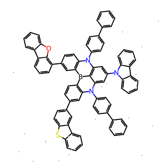 c1ccc(-c2ccc(N3c4ccc(-c5cccc6c5oc5ccccc56)cc4B4c5ccc(-c6ccc7sc8ccccc8c7c6)cc5N(c5ccc(-c6ccccc6)cc5)c5cc(-n6c7ccccc7c7ccccc76)cc3c54)cc2)cc1